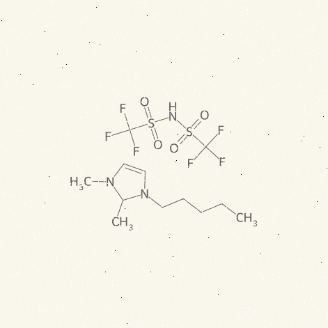 CCCCCN1C=CN(C)C1C.O=S(=O)(NS(=O)(=O)C(F)(F)F)C(F)(F)F